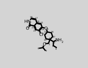 CCC(N)C1(COC(C)C)CCC(Oc2cc3cc[nH]c(=O)c3cc2Cl)CC1